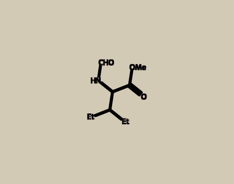 CCC(CC)C(NC=O)C(=O)OC